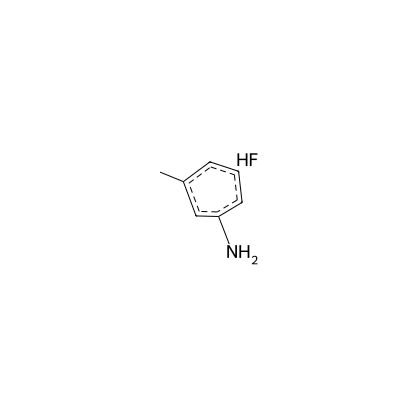 Cc1cccc(N)c1.F